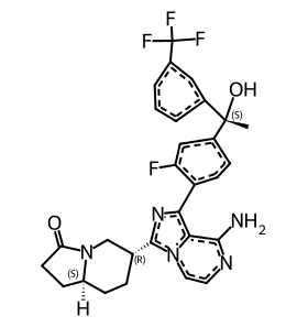 C[C@](O)(c1cccc(C(F)(F)F)c1)c1ccc(-c2nc([C@@H]3CC[C@H]4CCC(=O)N4C3)n3ccnc(N)c23)c(F)c1